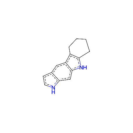 c1cc2cc3c4c([nH]c3cc2[nH]1)CCCC4